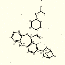 CC(C)O[C@H]1CC[C@H](C(=O)N2Cc3cccnc3Nc3ccc(N4CC5CC(C4)O5)cc32)CC1